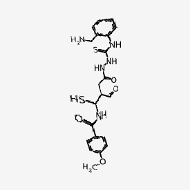 COc1ccc(C(=O)NC(S)C(C=O)CC(=O)NNC(=S)Nc2ccccc2CN)cc1